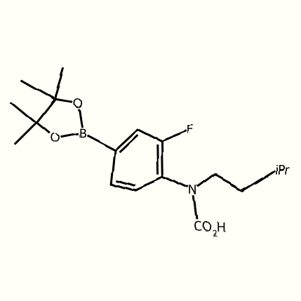 CC(C)CCN(C(=O)O)c1ccc(B2OC(C)(C)C(C)(C)O2)cc1F